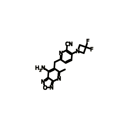 Cc1nc2nonc2c(N)c1Cc1ccc(N2CC(F)(F)C2)c(C#N)n1